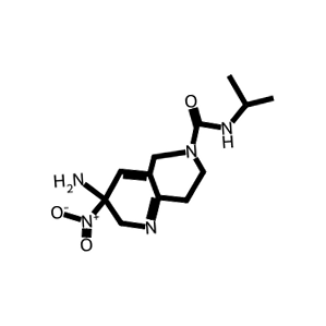 CC(C)NC(=O)N1CCC2=NCC(N)([N+](=O)[O-])C=C2C1